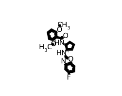 COc1cccc(OC)c1C(=O)N[C@@H]1CCC[C@H]1Nc1nc2cc(F)ccc2o1